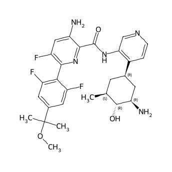 COC(C)(C)c1cc(F)c(-c2nc(C(=O)Nc3cnccc3[C@H]3C[C@@H](N)[C@H](O)[C@@H](C)C3)c(N)cc2F)c(F)c1